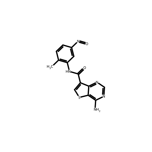 Cc1ccc(N=O)cc1NC(=O)c1csc2c(N)ncnc12